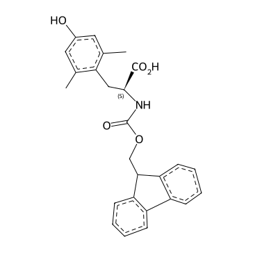 Cc1cc(O)cc(C)c1C[C@H](NC(=O)OCC1c2ccccc2-c2ccccc21)C(=O)O